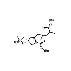 CN(CC(C)(C)C[C@@H]1C[C@@H](O[Si](C)(C)C(C)(C)C)CN1C(=O)OC(C)(C)C)C(=O)OC(C)(C)C